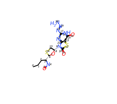 CCCC(N=O)[C@H]1O[C@@H](n2c(=O)sc3c(=O)[nH]c(N=NN)nc32)CS1